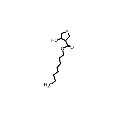 CCCCCCCCOC(=O)C1CSCC1O